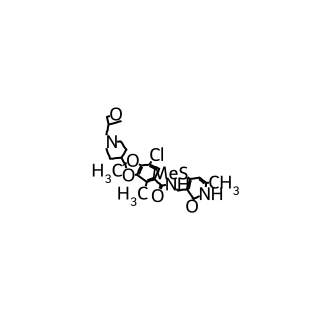 CSc1cc(C)[nH]c(=O)c1CNC(=O)c1cc(Cl)c2c(c1C)O[C@@](C)(C1CCN(CC3COC3)CC1)O2